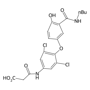 CCCCNC(=O)c1cc(Oc2c(Cl)cc(NC(=O)CC(=O)O)cc2Cl)ccc1O